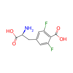 N[C@@H](Cc1cc(F)c(C(=O)O)c(F)c1)C(=O)O